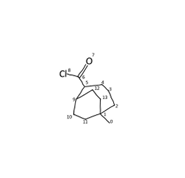 CC12CCCC(C(=O)Cl)C(CC1)CC2